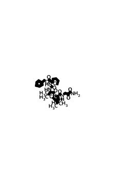 CC(C)(C)[C@H](NC(=O)NC1(C(=O)OCc2ccccc2)CCCCC1)C(=O)N1C[C@H]2[C@@H]([C@H]1C(=O)NCC(=O)C(N)=O)C2(C)C